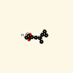 CC1(C)c2ccccc2C2(c3ccccc3-c3cc(-c4ccc(-c5cc(-c6ccccc6)nc(-c6ccc7c8ccccc8c8ccccc8c7c6)n5)cc4)ccc32)c2ccccc21